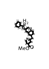 COC(=O)c1ccnc(Cc2ccc3ncc(/N=C(\P)c4ccccc4)cc3c2)c1